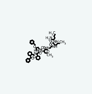 CCCCC(NC(=O)C(CCCC)NC(=O)CNC(=O)C(=O)C(CCC)NC(=O)[C@@H]1C[C@@H](OCc2ccccc2)CN1C(=O)C(NC(=O)C1CCCCC1C(=O)c1ccccc1)C1CCCCC1)C(N)=O